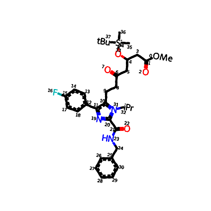 COC(=O)CC(CC(=O)CCc1c(-c2ccc(F)cc2)nc(C(=O)NCc2ccccc2)n1C(C)C)O[Si](C)(C)C(C)(C)C